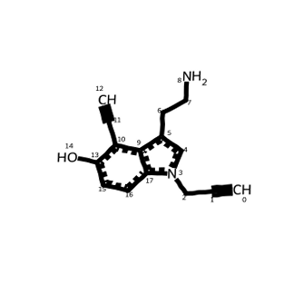 C#CCn1cc(CCN)c2c(C#C)c(O)ccc21